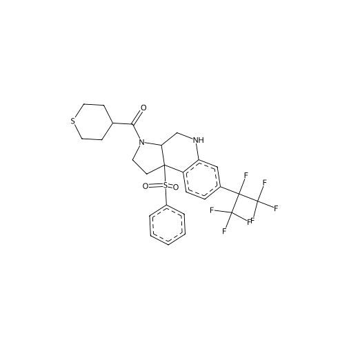 O=C(C1CCSCC1)N1CCC2(S(=O)(=O)c3ccccc3)c3ccc(C(F)(C(F)(F)F)C(F)(F)F)cc3NCC12